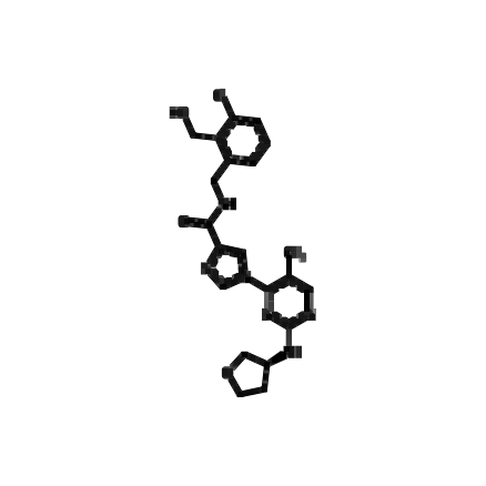 Cc1cnc(N[C@H]2CCOC2)nc1-n1cnc(C(=O)NCc2cccc(Cl)c2CO)c1